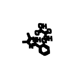 Cc1nc(-c2ccccc2Cl)[nH]c1C.O=C(O)C(=O)O